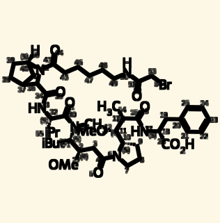 CC[C@H](C)[C@@H]([C@@H](CC(=O)N1CCC[C@H]1[C@H](OC)[C@@H](C)C(=O)N[C@@H](Cc1ccccc1)C(=O)O)OC)N(C)C(=O)[C@@H](NC(=O)C1C2CC[C@@H](C2)N1C(=O)CCCCCNC(=O)CBr)C(C)C